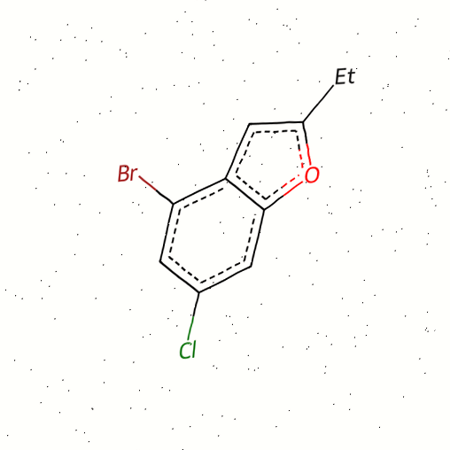 CCc1cc2c(Br)cc(Cl)cc2o1